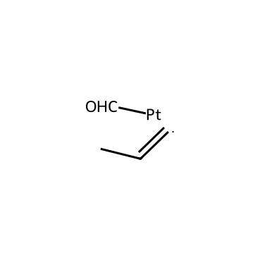 O=[CH][Pt].[CH]=CC